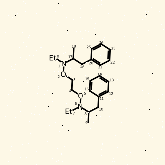 CCN(OCCON(CC)C(C)Cc1ccccc1)C(C)Cc1ccccc1